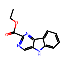 CCOC(=O)c1ncc2[nH]c3ccccc3c2n1